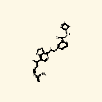 C=C(N)/N=C\C=C(/C)c1cnc(NCc2cccc(C(=O)NC3CCC3)c2)c2c1OCC2